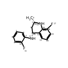 C[C@H]1C[C@@H](Nc2ccccc2F)c2cccc(F)c2N1